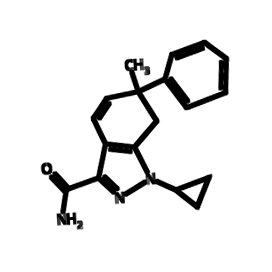 CC1(c2ccccc2)C=Cc2c(C(N)=O)nn(C3CC3)c2C1